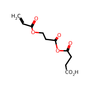 C=CC(=O)OCCC(=O)OC(=O)CCC(=O)O